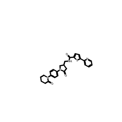 O=C(NCC1CC(=O)N(c2ccc(N3CCCCC3=O)cc2)C1)c1ccc(-c2ccccn2)s1